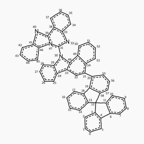 c1ccc2c(c1)-c1ccccc1C21c2ccccc2-c2c(-c3cc4c5ccccc5n(-c5nc6ccccc6c6nc7ccccc7n56)c4c4ccccc34)cccc21